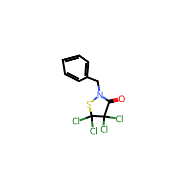 O=C1N(Cc2ccccc2)SC(Cl)(Cl)C1(Cl)Cl